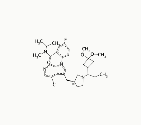 CCC(C1CC(OC)(OC)C1)N1CC[C@@H](Cc2cn(-c3ccc(F)cc3C(=O)N(C)C(C)C)c3cncc(Cl)c23)C1